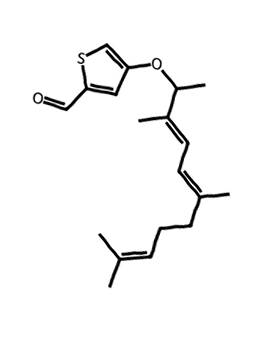 CC(C)=CCC/C(C)=C/C=C(\C)C(C)Oc1csc(C=O)c1